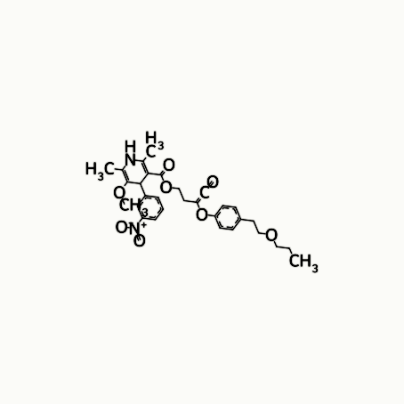 CCCOCCc1ccc(OC(=C=O)CCOC(=O)C2=C(C)NC(C)=C(OC)C2c2cccc([N+](=O)[O-])c2)cc1